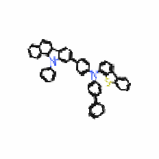 c1ccc(-c2ccc(N(c3ccc(-c4ccc5c6ccc7ccccc7c6n(-c6ccccc6)c5c4)cc3)c3cccc4c3sc3ccccc34)cc2)cc1